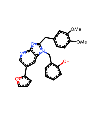 COc1ccc(Cc2nc3ncc(-c4ccco4)cc3n2Cc2ccccc2O)cc1OC